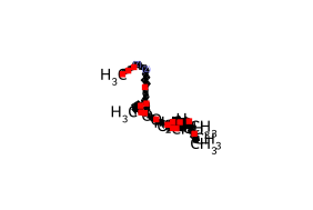 CCCCC/C=C\C/C=C\CCCCCCCCCCOCC(CN1CCCC1C)OCCOCCO[C@H]1CC[C@@]2(C)C(=CC[C@H]3[C@@H]4CC[C@H]([C@H](C)CCCC(C)C)[C@@]4(C)CC[C@@]32N)C1